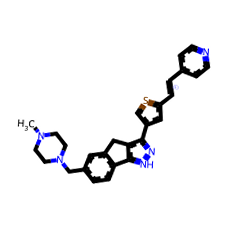 CN1CCN(Cc2ccc3c(c2)Cc2c(-c4csc(/C=C/c5ccncc5)c4)n[nH]c2-3)CC1